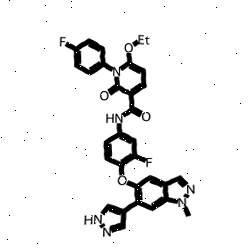 CCOc1ccc(C(=O)Nc2ccc(Oc3cc4cnn(C)c4cc3-c3cn[nH]c3)c(F)c2)c(=O)n1-c1ccc(F)cc1